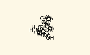 COc1cc([C@@H](CC(=O)O)c2cccc3c2CCN(C(=O)c2ccccc2Cl)C3)cc2nnn(C)c12